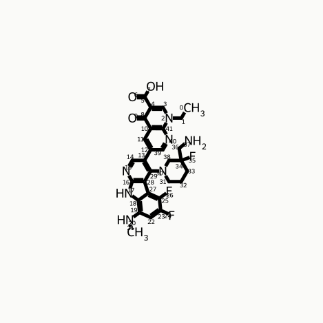 CCn1cc(C(=O)O)c(=O)c2cc(-c3cnc4[nH]c5c(NC)cc(F)c(F)c5c4c3N3CCCC(F)(CN)C3)cnc21